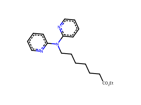 CCOC(=O)CCCCCCN(c1ccccn1)c1ccccn1